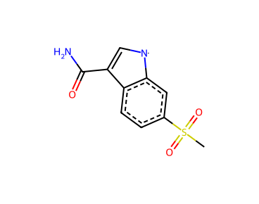 CS(=O)(=O)c1ccc2c(c1)[N]C=C2C(N)=O